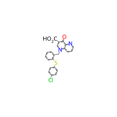 O=C(O)c1cn(Cc2ccccc2Sc2ccc(Cl)cc2)c2cccnc2c1=O